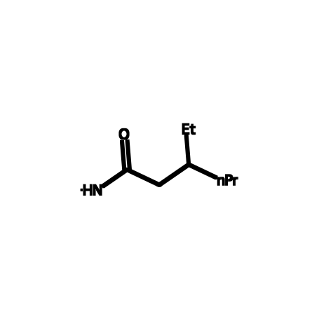 CCCC(CC)CC([NH])=O